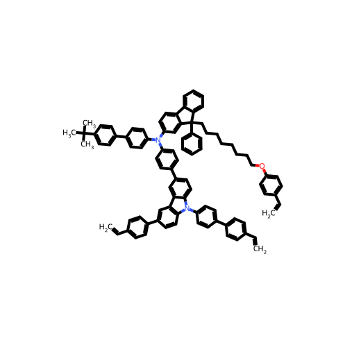 C=Cc1ccc(OCCCCCCCCC2(c3ccccc3)c3ccccc3-c3ccc(N(c4ccc(-c5ccc(C(C)(C)C)cc5)cc4)c4ccc(-c5ccc6c(c5)c5cc(-c7ccc(C=C)cc7)ccc5n6-c5ccc(-c6ccc(C=C)cc6)cc5)cc4)cc32)cc1